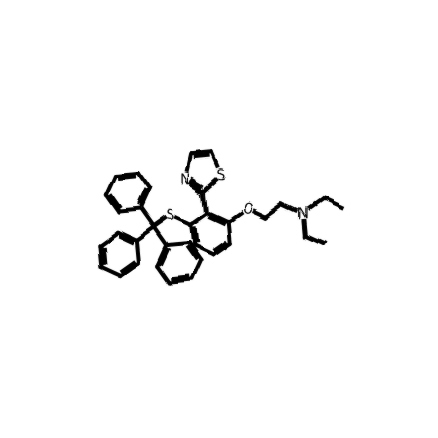 CCN(CC)CCOc1cccc(SC(c2ccccc2)(c2ccccc2)c2ccccc2)c1-c1nccs1